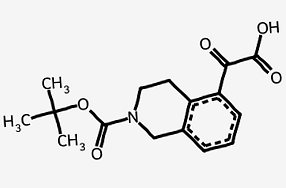 CC(C)(C)OC(=O)N1CCc2c(cccc2C(=O)C(=O)O)C1